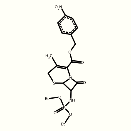 CCOP(=O)(NC1C(=O)N2C(C(=O)OCc3ccc([N+](=O)[O-])cc3)=C(C)CSC12)OCC